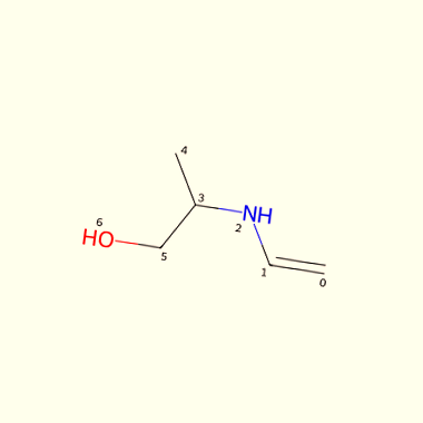 C=CNC(C)CO